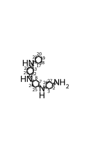 Nc1ccc(Nc2ccc(Nc3ccc(Nc4ccccc4)cc3)cc2)cc1